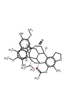 COc1cc2c(cc1O)CCN[C@]21CS[C@@H]2c3c(OC(C)=O)c(C)c4c(c3[C@H](COC1=O)N1C2[C@@H](N(C)C)c2c(cc(C)c(OC)c2O)C[C@@H]1C#N)CCO4